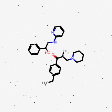 CCc1ccc(C(=O)C(C)CN2CCCCC2)cc1.OC(CNc1ccccn1)c1ccccc1